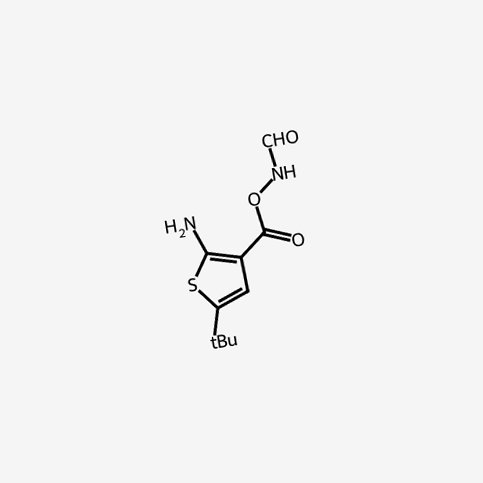 CC(C)(C)c1cc(C(=O)ONC=O)c(N)s1